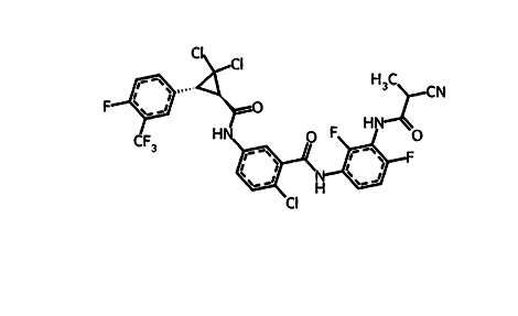 CC(C#N)C(=O)Nc1c(F)ccc(NC(=O)c2cc(NC(=O)[C@H]3[C@H](c4ccc(F)c(C(F)(F)F)c4)C3(Cl)Cl)ccc2Cl)c1F